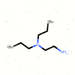 CC(C)(C)CCN(CCN)CCC(C)(C)C